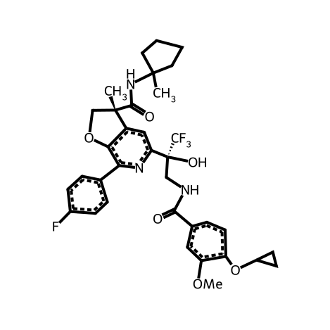 COc1cc(C(=O)NC[C@](O)(c2cc3c(c(-c4ccc(F)cc4)n2)OC[C@]3(C)C(=O)NC2(C)CCCC2)C(F)(F)F)ccc1OC1CC1